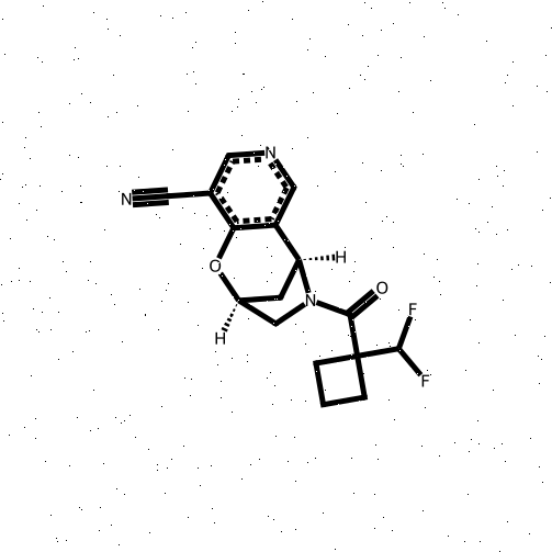 N#Cc1cncc2c1O[C@H]1C[C@@H]2N(C(=O)C2(C(F)F)CCC2)C1